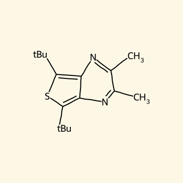 Cc1nc2c(C(C)(C)C)sc(C(C)(C)C)c2nc1C